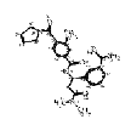 Cc1cc(C(=O)NC(CC(=O)N(C)C)c2cccc(C(=N)N)c2)ccc1C(=O)N1CCCC1